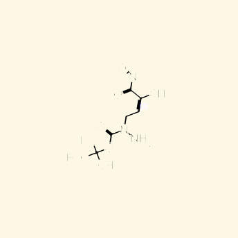 C/C(=C/CN(N)C(=O)OC(C)(C)C)C(=O)N=O